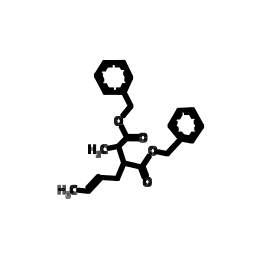 CC=CCC(C(=O)OCc1ccccc1)C(C)C(=O)OCc1ccccc1